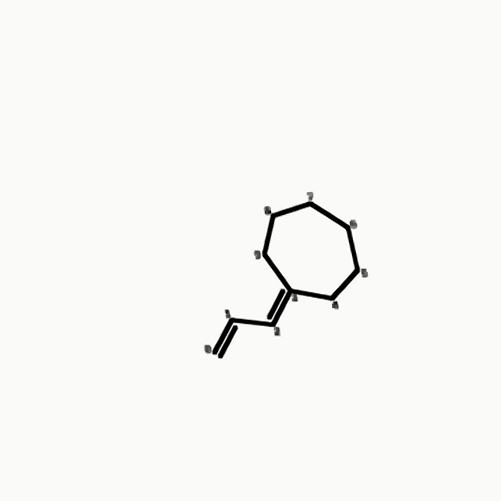 C=CC=C1CCCCCC1